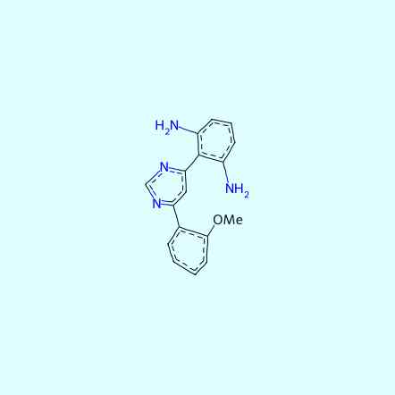 COc1ccccc1-c1cc(-c2c(N)cccc2N)ncn1